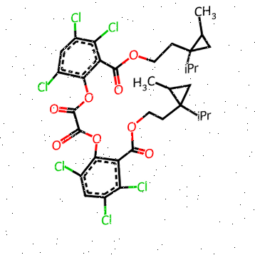 CC(C)C1(CCOC(=O)c2c(Cl)c(Cl)cc(Cl)c2OC(=O)C(=O)Oc2c(Cl)cc(Cl)c(Cl)c2C(=O)OCCC2(C(C)C)CC2C)CC1C